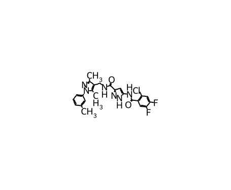 Cc1cccc(-n2nc(C)c(CNC(=O)c3cc(NC(=O)c4cc(F)c(F)cc4Cl)[nH]n3)c2C)c1